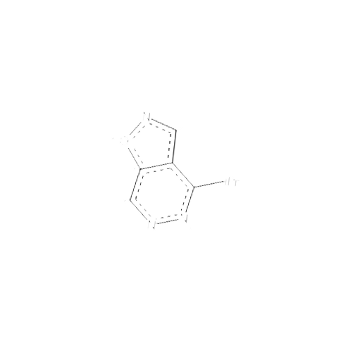 CC(C)c1nncc2oncc12